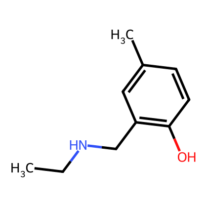 CCNCc1cc(C)ccc1O